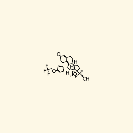 C#CC(F)(F)[C@]1(O)CC[C@H]2[C@@H]3CCC4=CC(=O)CCC4=C3[C@@H](c3ccc(OCC(F)(F)F)cc3)C[C@@]21C